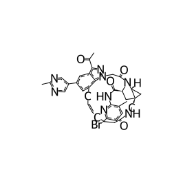 CC(=O)c1nn2c3c(cc(-c4cnc(C)nc4)cc13)C/C=C/CCCC(=O)NC[C@@]13C[C@@H](C(=O)Nc4nc(Br)ccc4C)N(C(=O)C2)[C@@H]1C3